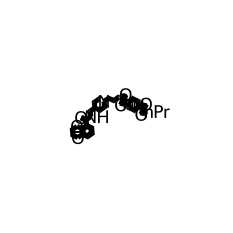 CCCS(=O)(=O)N1CCN(S(=O)(=O)CCCN2CCC(CNC(=O)c3cccc4c3OCCO4)CC2)CC1